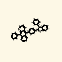 c1ccc(-c2c3ccccc3c(-c3ccc(-c4nc5ccccc5n4-c4ccccc4)cc3)c3cccnc23)cc1